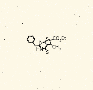 CCOC(=O)c1sc2nc(Cc3ccccc3)[nH]c(=S)c2c1C